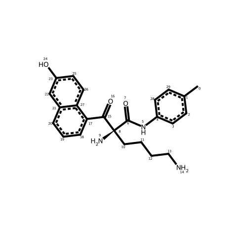 Cc1ccc(NC(=O)[C@](N)(CCCCN)C(=O)c2cccc3cc(O)ccc23)cc1